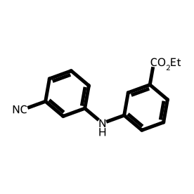 CCOC(=O)c1cccc(Nc2cccc(C#N)c2)c1